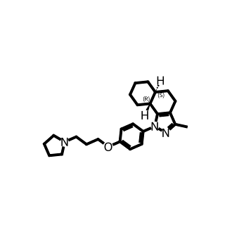 Cc1nn(-c2ccc(OCCCN3CCCC3)cc2)c2c1CC[C@@H]1CCCC[C@@H]21